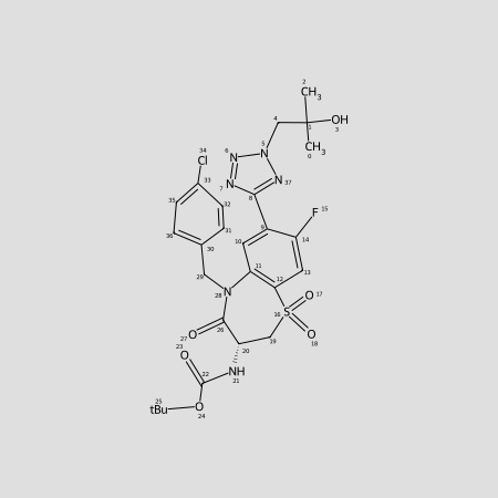 CC(C)(O)Cn1nnc(-c2cc3c(cc2F)S(=O)(=O)C[C@H](NC(=O)OC(C)(C)C)C(=O)N3Cc2ccc(Cl)cc2)n1